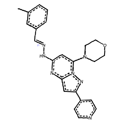 Cc1cccc(/C=N/Nc2cc(N3CCOCC3)n3nc(-c4ccncc4)cc3n2)c1